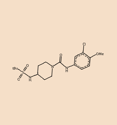 COc1ccc(NC(=O)N2CCC(NS(=O)(=O)C(C)(C)C)CC2)cc1Cl